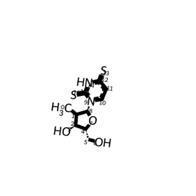 CC1[C@@H](O)[C@@H](CO)O[C@H]1n1ccc(=S)[nH]c1=S